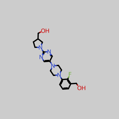 OCc1cccc(N2CCN(c3cnc(N4CCC(CO)C4)nc3)CC2)c1F